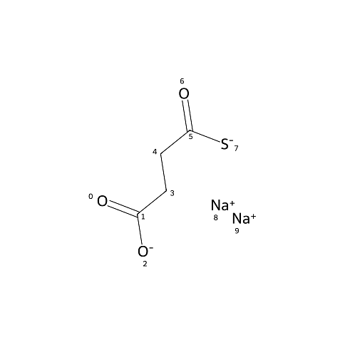 O=C([O-])CCC(=O)[S-].[Na+].[Na+]